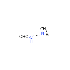 CC(=O)N(C)CCNC=O